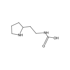 O=C(O)NCCC1CCCN1